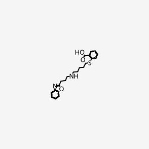 O=C(O)c1ccccc1SCCCCCNCCCc1nc2ccccc2o1